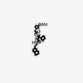 COC1CCC(CC(=O)Oc2nc(-c3ccccc3)c(C(=O)NCCc3ccc4ccccc4c3)s2)C1